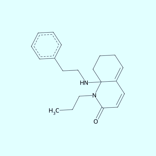 CCCN1C(=O)C=CC2=CCCCC21NCCc1ccccc1